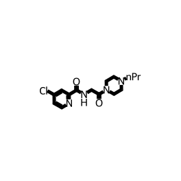 CCCN1CCN(C(=O)CNC(=O)c2cc(Cl)ccn2)CC1